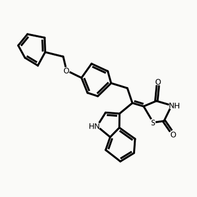 O=C1NC(=O)C(=C(Cc2ccc(OCc3ccccc3)cc2)c2c[nH]c3ccccc23)S1